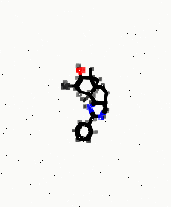 CC12C[C@]13CCc1cnc(-c4ccccc4)nc1[C@@]3(C)CC(C#N)=C2O